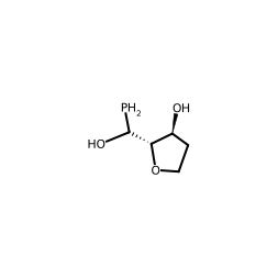 OC(P)[C@H]1OCC[C@@H]1O